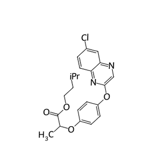 CC(C)CCOC(=O)C(C)Oc1ccc(Oc2cnc3cc(Cl)ccc3n2)cc1